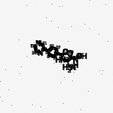 NC[C@H](NC(=O)c1ccc(-c2cnccn2)cc1)C(=O)NO